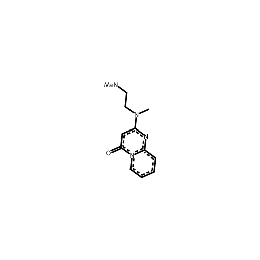 CNCCN(C)c1cc(=O)n2ccccc2n1